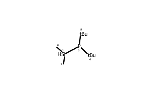 C[SiH](C)P(C(C)(C)C)C(C)(C)C